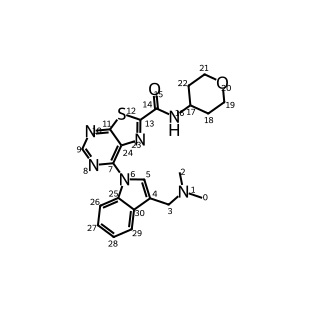 CN(C)Cc1cn(-c2ncnc3sc(C(=O)NC4CCOCC4)nc23)c2ccccc12